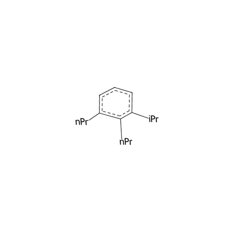 CCCc1cccc(C(C)C)c1CCC